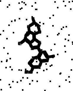 [CH2]C1COc2c(cc(Cl)c3nc(-c4cc(C)cc5nc(OC)cnc45)sc23)O1